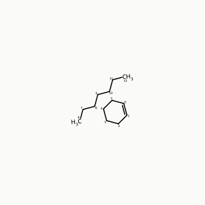 C1=CCCCC1.CCCCCCC